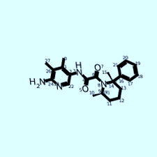 Cc1c(NC(=O)C(=O)N2[C@H](C)CCC[C@@]2(C)c2ccccc2)cnc(N)c1C